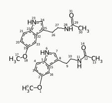 COc1ccc2[nH]cc(CCNC(C)=O)c2c1.COc1ccc2[nH]cc(CCNC(C)=O)c2c1